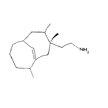 CC1CC2C=C(C[C@@]1(C)CCN)C(I)CCC2